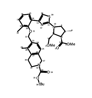 COC[C@@H]1[C@H](C(=O)OC)[C@@H](C)CN1c1nc(-c2cccc(C)c2OCc2ccc3c(c2C)CCN(C(=O)OC(C)(C)C)C3)cs1